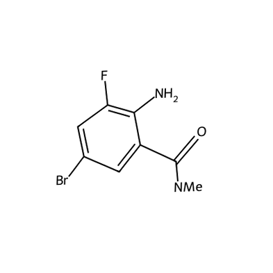 CNC(=O)c1cc(Br)cc(F)c1N